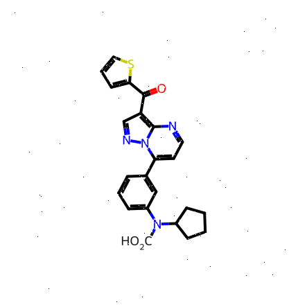 O=C(c1cccs1)c1cnn2c(-c3cccc(N(C(=O)O)C4CCCC4)c3)ccnc12